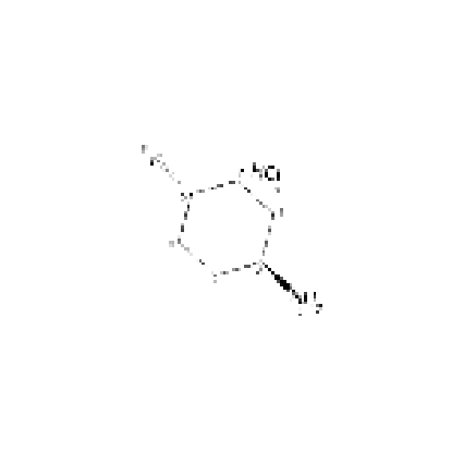 Cl.N[C@H]1CC[C@H](F)CC1